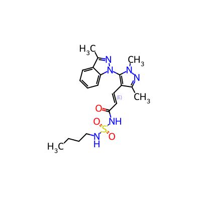 CCCCNS(=O)(=O)NC(=O)/C=C/c1c(C)nn(C)c1-n1nc(C)c2ccccc21